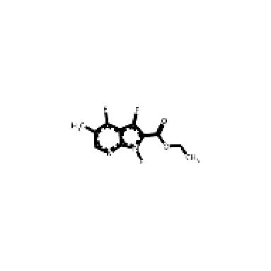 CCOC(=O)c1c(F)c2c(F)c(C)cnc2n1F